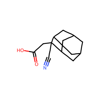 N#CC1(CC(=O)O)C2CC3CC(C2)CC1C3